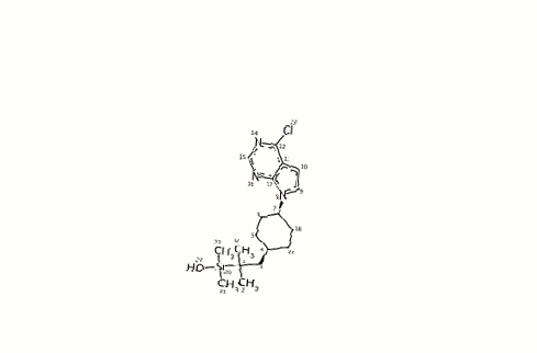 CC(C)(C[C@H]1CC[C@@H](n2ccc3c(Cl)ncnc32)CC1)[Si](C)(C)O